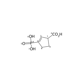 O=C(O)C1C=C(P(=O)(O)O)CC1